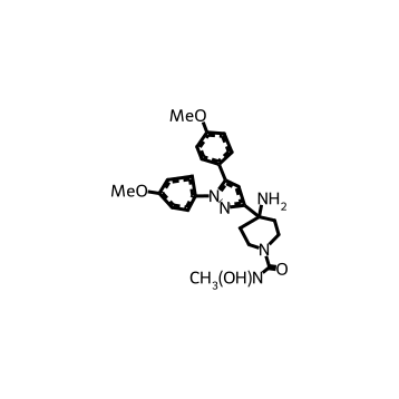 COc1ccc(-c2cc(C3(N)CCN(C(=O)N(C)O)CC3)nn2-c2ccc(OC)cc2)cc1